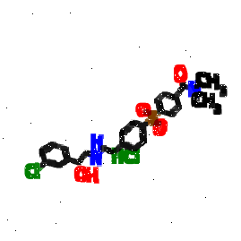 CN(C)C(=O)c1ccc(S(=O)(=O)c2ccc(CCNC[C@H](O)c3cccc(Cl)c3)cc2)cc1.Cl